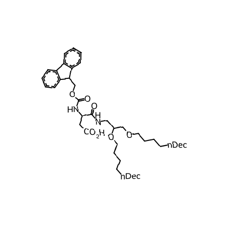 CCCCCCCCCCCCCCOCC(CNC(=O)C(CC(=O)O)NC(=O)OCC1c2ccccc2-c2ccccc21)OCCCCCCCCCCCCCC